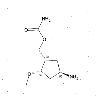 CO[C@H]1C[C@H](N)C[C@H]1COC(N)=O